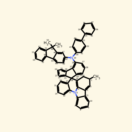 CC1C=c2c3n(c4ccccc24)-c2ccccc2C2(C=3C1)c1ccccc1-c1c(N(c3ccc(-c4ccccc4)cc3)c3ccc4c(c3)C(C)(C)c3ccccc3-4)cccc12